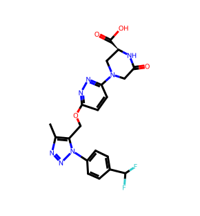 Cc1nnn(-c2ccc(C(F)F)cc2)c1COc1ccc(N2CC(=O)N[C@H](C(=O)O)C2)nn1